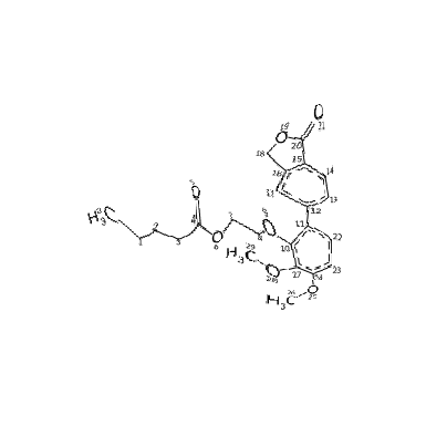 CCCCC(=O)OCCOc1c(-c2ccc3c(c2)COC3=O)ccc(OC)c1OC